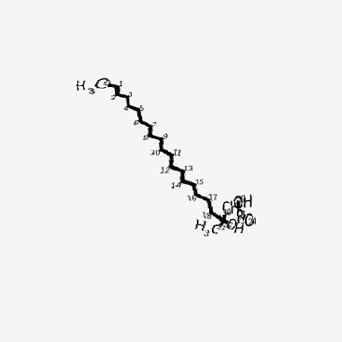 CCCCCCCCCCCCCCCCCCCC(C)(C)O[PH](=O)O